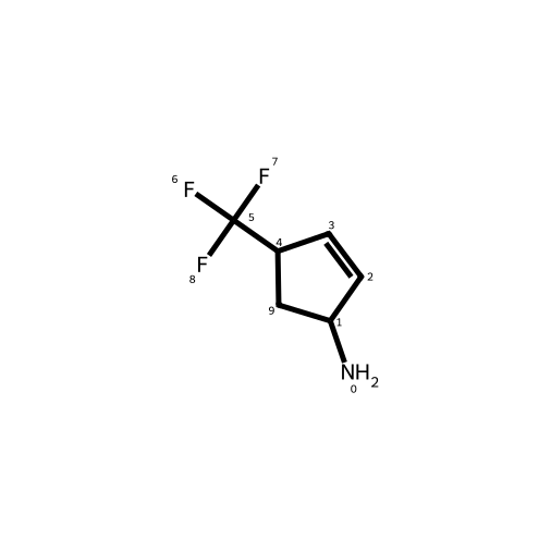 NC1C=CC(C(F)(F)F)C1